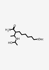 CCCCCCCCCCCCCCCCC(C(N)=O)C(C)NC(C)O